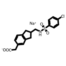 O=C([O-])Cc1ccc2c(c1)CC(CNS(=O)(=O)c1ccc(Cl)cc1)C2.[Na+]